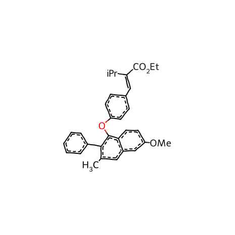 CCOC(=O)/C(=C/c1ccc(Oc2c(-c3ccccc3)c(C)cc3cc(OC)ccc23)cc1)C(C)C